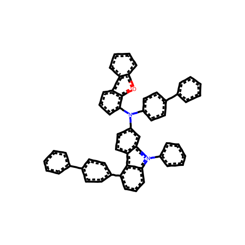 c1ccc(-c2ccc(-c3cccc4c3c3ccc(N(c5ccc(-c6ccccc6)cc5)c5cccc6c5oc5ccccc56)cc3n4-c3ccccc3)cc2)cc1